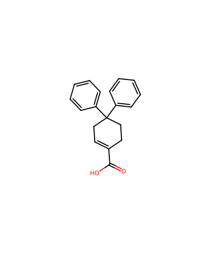 O=C(O)C1=CCC(c2ccccc2)(c2ccccc2)CC1